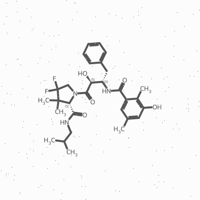 Cc1cc(O)c(C)c(C(=O)N[C@@H](Cc2ccccc2)[C@H](O)C(=O)N2CC(F)(F)C(C)(C)[C@H]2C(=O)NCC(C)C)c1